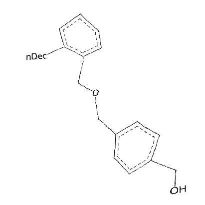 CCCCCCCCCCc1ccccc1COCc1ccc(CO)cc1